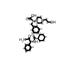 NC(=O)[C@@H](NC(=O)[C@@H]1CCCC[C@H]1c1ccc(CN(C(=O)O)N2CCN(CCO)CC2)cc1)c1ccccc1